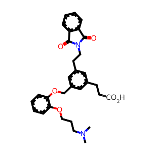 CN(C)CCCOc1ccccc1OCc1cc(CCC(=O)O)cc(CCN2C(=O)c3ccccc3C2=O)c1